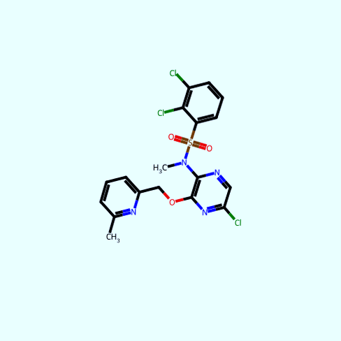 Cc1cccc(COc2nc(Cl)cnc2N(C)S(=O)(=O)c2cccc(Cl)c2Cl)n1